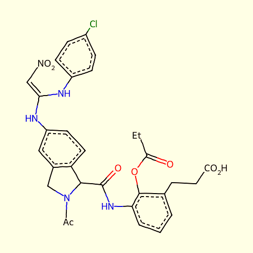 CCC(=O)Oc1c(CCC(=O)O)cccc1NC(=O)C1c2ccc(NC(=C[N+](=O)[O-])Nc3ccc(Cl)cc3)cc2CN1C(C)=O